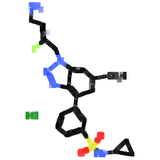 Cl.NC/C=C(\F)Cn1nnc2c(-c3cccc(S(=O)(=O)NC4CC4)c3)cc(C(=O)O)cc21